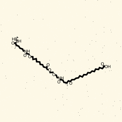 CBBC(=O)[C@@H](C)CCCCNC(=O)COCCCCCCCCC(=O)COCCOCCNC(=O)CC[C@@H](C)CC(=O)CCCCCCCCCCCCCCCCC(=O)O